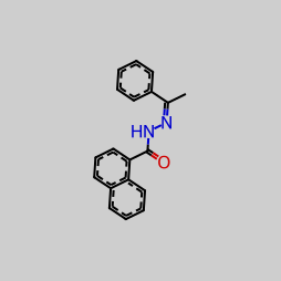 CC(=NNC(=O)c1cccc2ccccc12)c1ccccc1